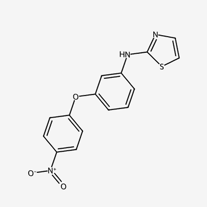 O=[N+]([O-])c1ccc(Oc2cccc(Nc3nccs3)c2)cc1